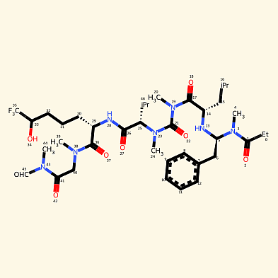 CCC(=O)N(C)[C@@H](Cc1ccccc1)N[C@@H](CC(C)C)C(=O)N(C)C(=O)N(C)[C@H](C(=O)N[C@@H](CCCC(O)C(F)(F)F)C(=O)N(C)CC(=O)N(C)C=O)C(C)C